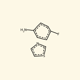 Nc1ccc(F)cc1.c1cscn1